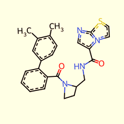 Cc1ccc(-c2ccccc2C(=O)N2CCC2CNC(=O)c2cnc3sccn23)cc1C